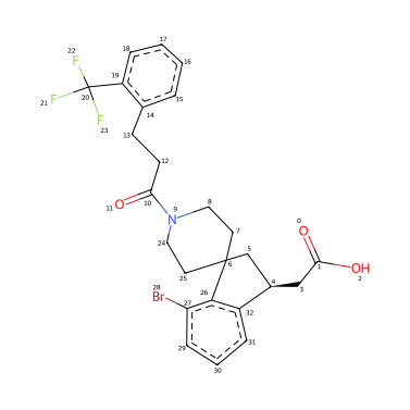 O=C(O)C[C@@H]1CC2(CCN(C(=O)CCc3ccccc3C(F)(F)F)CC2)c2c(Br)cccc21